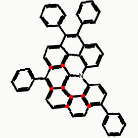 c1ccc(-c2ccc(N(c3ccc(-c4ccccc4)cc3-c3ccccc3)c3cccc4c(-c5ccccc5)c(-c5ccccc5)c5ccccc5c34)c(-c3ccccc3)c2)cc1